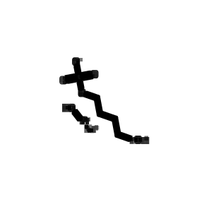 CC(C)O.CCCCCCCCCCCCOS(=O)(=O)[O-].[Na+]